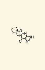 Nc1nc2[nH]cnc2c(=O)n1CC1CCCCC1